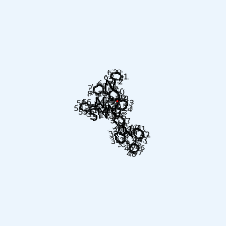 c1ccc(-n2c3ccccc3c3c(-c4nc5c(nc4-n4c6ccccc6c6cc7c(cc64)c4cccc6c4n7-c4ccccc4-c4ccccc4-6)sc4ccccc45)cccc32)cc1